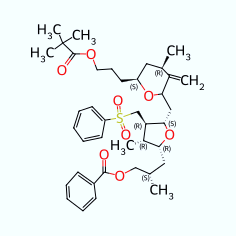 C=C1C(C[C@@H]2O[C@H](C[C@H](C)COC(=O)c3ccccc3)[C@H](C)[C@H]2CS(=O)(=O)c2ccccc2)O[C@@H](CCCOC(=O)C(C)(C)C)C[C@H]1C